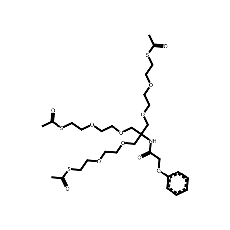 CC(=O)SCCOCCOCC(COCCOCCSC(C)=O)(COCCOCCSC(C)=O)NC(=O)COc1ccccc1